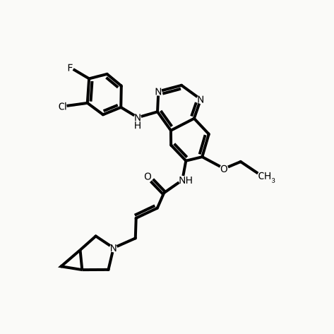 CCOc1cc2ncnc(Nc3ccc(F)c(Cl)c3)c2cc1NC(=O)C=CCN1CC2CC2C1